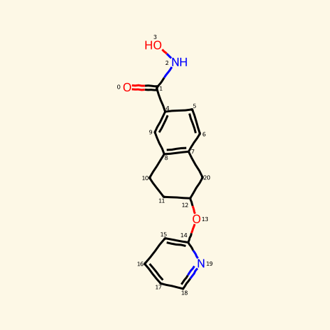 O=C(NO)c1ccc2c(c1)CCC(Oc1ccccn1)C2